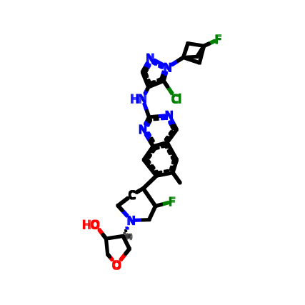 Cc1cc2cnc(Nc3cnn(C45CC(F)(C4)C5)c3Cl)nc2cc1C1CCN([C@@H]2COCC2O)CC1F